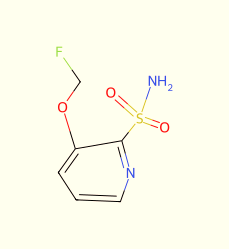 NS(=O)(=O)c1ncccc1OCF